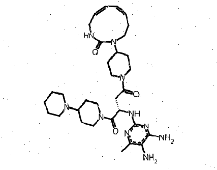 Cc1nc(N[C@@H](CC(=O)N2CCC(N3CC/C=C\C=C/CNC3=O)CC2)C(=O)N2CCC(N3CCCCC3)CC2)nc(N)c1N